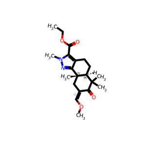 CCOC(=O)c1c2c(nn1C)[C@@]1(C)C/C(=C/OC)C(=O)C(C)(C)[C@@H]1CC2